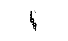 CCCCCCC1CCC(c2ccc(OC(F)F)cc2)CC1